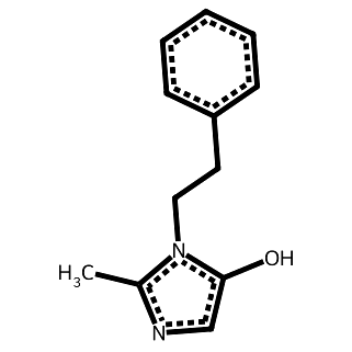 Cc1ncc(O)n1CCc1ccccc1